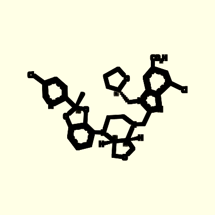 C[C@]1(c2ccc(Cl)cn2)Oc2cccc(N3CCN(Cc4nc5c(Cl)cc(C(=O)O)cc5n4C[C@@H]4CCCO4)[C@H]4COC[C@H]43)c2O1